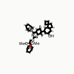 COC1CC2CCC(C1)N2C[C@H](COc1nc(N2CC3CCC(C2)N3)c2cc(F)c(C3=CC(O)=CC4=C(C3)C3(CCC3)CC4)c(F)c2n1)OC